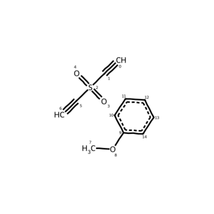 C#CS(=O)(=O)C#C.COc1ccccc1